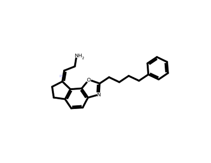 NC/C=C1/CCc2ccc3nc(CCCCc4ccccc4)oc3c21